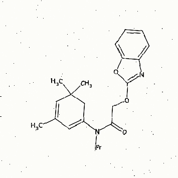 CC1=CC(C)(C)CC(N(C(=O)COc2nc3ccccc3o2)C(C)C)=C1